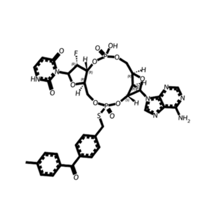 Cc1ccc(C(=O)c2ccc(CSP3(=O)OC[C@H]4OC(n5c(=O)cc[nH]c5=O)[C@H](F)[C@@H]4OP(=O)(O)OC[C@H]4OC(n5cnc6c(N)ncnc65)[C@H](O3)[C@@H]4F)cc2)cc1